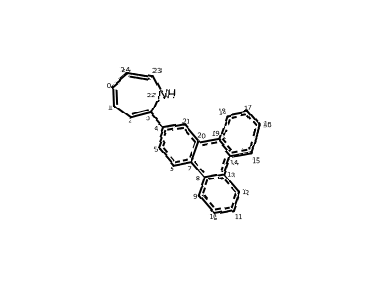 C1=CC=C(c2ccc3c4ccccc4c4ccccc4c3c2)NC=C1